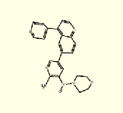 Nc1ncc(-c2ccc3nccc(-c4ccncc4)c3c2)cc1[S+]([O-])N1CCOCC1